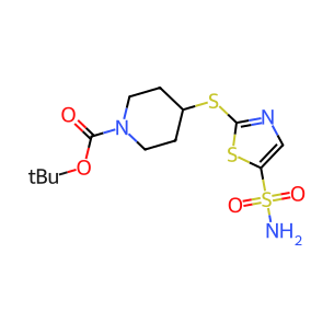 CC(C)(C)OC(=O)N1CCC(Sc2ncc(S(N)(=O)=O)s2)CC1